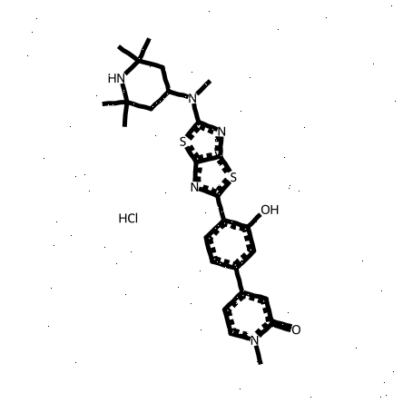 CN(c1nc2sc(-c3ccc(-c4ccn(C)c(=O)c4)cc3O)nc2s1)C1CC(C)(C)NC(C)(C)C1.Cl